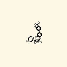 N#C[C@H](Cc1ccc(-c2ccc3c(c2)COC3=O)cc1F)NC(=O)[C@@H]1CNCCCO1